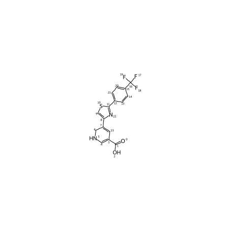 O=C(O)C1=CNCC(c2csc(-c3ccc(C(F)(F)F)cc3)n2)=C1